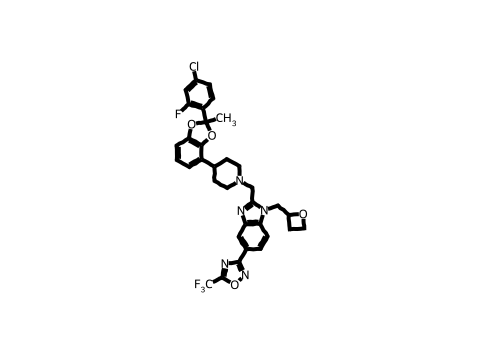 CC1(c2ccc(Cl)cc2F)Oc2cccc(C3CCN(Cc4nc5cc(-c6noc(C(F)(F)F)n6)ccc5n4CC4CCO4)CC3)c2O1